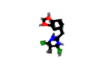 CCc1c(Cl)nc(Cc2ccc3c(c2)OCO3)nc1Cl